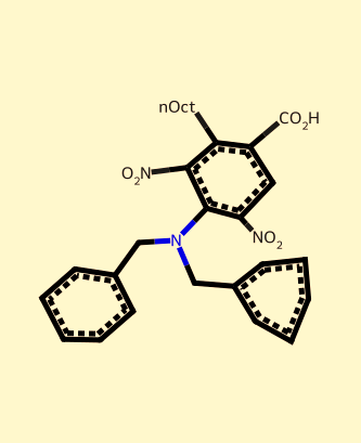 CCCCCCCCc1c(C(=O)O)cc([N+](=O)[O-])c(N(Cc2ccccc2)Cc2ccccc2)c1[N+](=O)[O-]